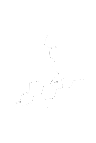 CCCC1O[C@@H]2CC3[C@@H]4CCC5=CC(=O)C=C[C@]5(C)C4[C@@H](O)C[C@]3(C)[C@]2(C(=O)COCNC(=O)CN)O1